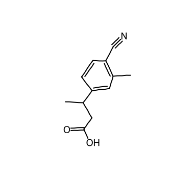 Cc1cc(C(C)CC(=O)O)ccc1C#N